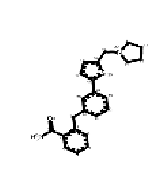 NC(=O)c1ccccc1Cc1cccc(-c2ccc(CN3CCCC3)s2)c1